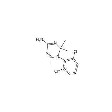 CC1=NC(N)=NC(C)(C)N1c1c(Cl)cccc1Cl